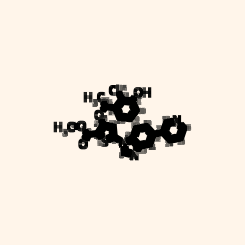 COC(=O)c1sc(-n2cnc3cc(-c4cccnc4)ccc32)cc1OC(C)c1cccc(O)c1Cl